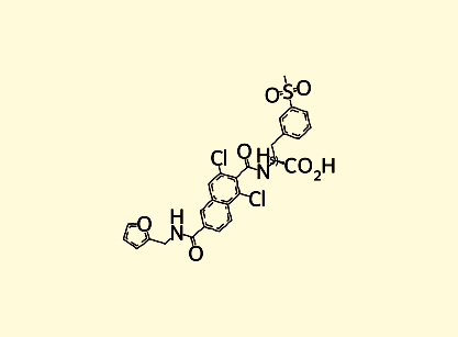 CS(=O)(=O)c1cccc(C[C@H](NC(=O)c2c(Cl)cc3cc(C(=O)NCc4ccco4)ccc3c2Cl)C(=O)O)c1